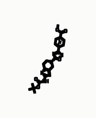 COC(=O)C12CCC(c3noc(N4CCc5nc(NC(=O)OC(C)(C)C)sc5C4)n3)(CC1)CC2